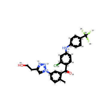 Cc1ccc(-n2cc(CCO)nn2)cc1C(=O)c1ccc(Nc2ccc(C(F)(F)F)cc2)cc1Cl